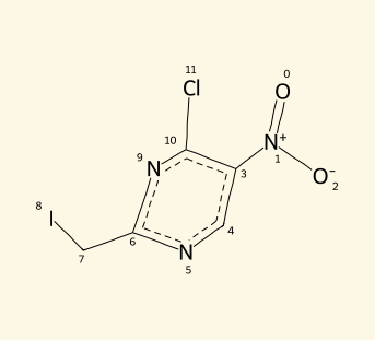 O=[N+]([O-])c1cnc(CI)nc1Cl